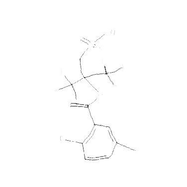 O=C(OC(CS(=O)(=O)O)(C(F)(F)F)C(F)(F)F)c1cc(I)ccc1F